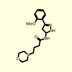 COc1ccccc1C1=NNC(NC(=O)CCCN2CCOCC2)C1